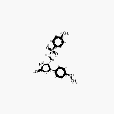 COc1ccc([C@H]2OC(=O)N[C@@H]2COS(=O)(=O)c2ccc(C)cc2)cc1